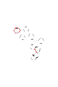 c1ccc(-c2ccc(-c3ccccc3N(c3ccc(-c4cccc(-c5ccccc5)c4-c4ccccc4-c4ccccc4)cc3)c3ccc4oc5ccccc5c4c3)cc2)cc1